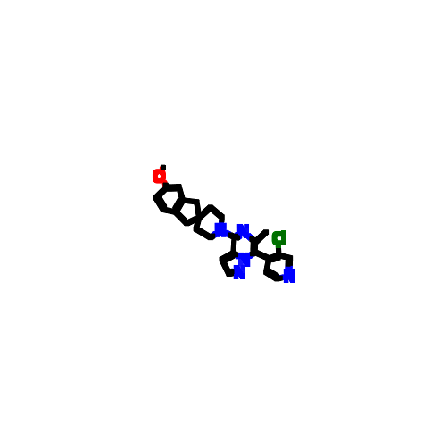 COc1ccc2c(c1)CC1(CCN(c3nc(C)c(-c4ccncc4Cl)n4nccc34)CC1)C2